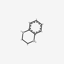 [CH]1CSc2ccccc2O1